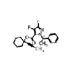 CC#CC1(OC(=O)c2c(F)c(F)nn2[C@H](C)c2ccccc2)CCCCC1